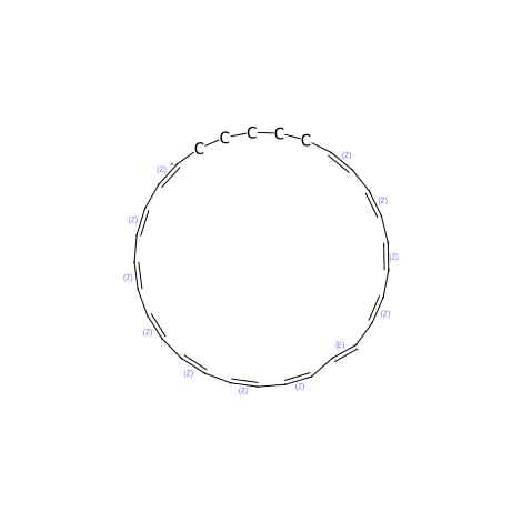 [C]1=C/C=C\C=C/C=C\C=C/C=C\C=C/C=C/C=C\C=C/C=C\C=C/CCCCC\1